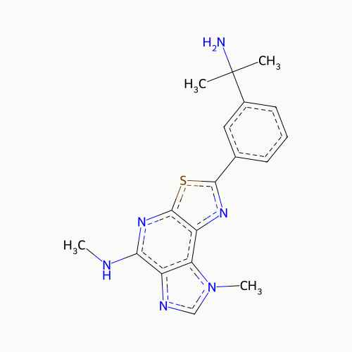 CNc1nc2sc(-c3cccc(C(C)(C)N)c3)nc2c2c1ncn2C